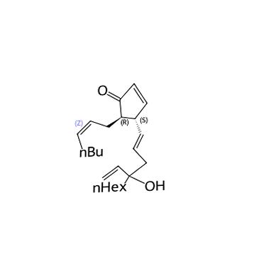 C=CC(O)(CC=C[C@H]1C=CC(=O)[C@@H]1C/C=C\CCCC)CCCCCC